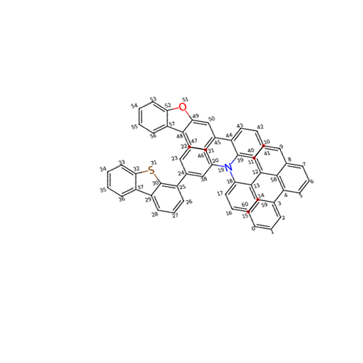 c1ccc(-c2cccc3cccc(-c4ccccc4N(c4cccc(-c5cccc6c5sc5ccccc56)c4)c4ccccc4-c4ccc5c(c4)oc4ccccc45)c23)cc1